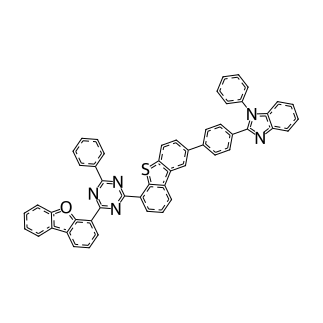 c1ccc(-c2nc(-c3cccc4c3oc3ccccc34)nc(-c3cccc4c3sc3ccc(-c5ccc(-c6nc7ccccc7n6-c6ccccc6)cc5)cc34)n2)cc1